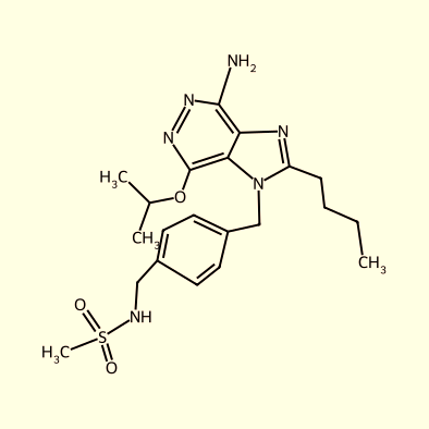 CCCCc1nc2c(N)nnc(OC(C)C)c2n1Cc1ccc(CNS(C)(=O)=O)cc1